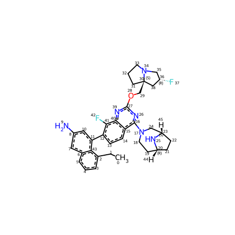 CCc1cccc2cc(N)cc(-c3ccc4c(N5CC[C@H]6CC[C@@H](C5)N6)nc(OC[C@@]56CCCN5C[C@H](F)C6)nc4c3F)c12